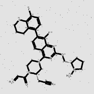 C=CC(=O)N1CCN(c2nc(OC[C@@H]3CCCN3C)nc3c(F)c(-c4ccc(F)c5c4CCCS5)ccc23)C[C@@H]1CC#N